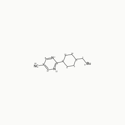 CCC(C)CC1CCC(c2ncc(C#N)cn2)CC1